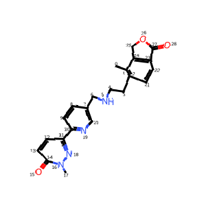 Cc1c(CCNCc2ccc(-c3ccc(=O)n(C)n3)nc2)ccc2c1COC2=O